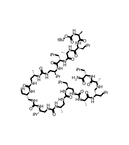 CC(C)C[C@@H](CNC(=O)N[C@@H](C)C(=O)N[C@H](CN[C@@H](C)C(=O)N[C@@H](CC(C)C)C(N)=O)CC(C)C)NC(=O)NC[C@H](C)NC(=O)NC[C@@H](NC(=O)NC[C@H](CC(C)C)NC(=O)NC[C@H](C)NC(=O)NC[C@@H](NC(=O)[C@H](CC(C)C)NC(=O)[C@H](C)NC(=O)[C@H](CC(C)C)NC(=O)[C@H](C)NC(=O)OC(C)(C)C)C(C)C)C(C)C